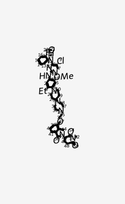 CCc1cc(Nc2ncc(Cl)c(Nc3ccccc3P(C)(C)=O)n2)c(OC)cc1N1CCC(N2CCN(CCOc3cccc4c3CN(C3CCC(=O)N(C)C3=O)C4=O)CC2)CC1